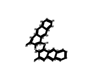 Cc1cc2cc3ccccc3cc2c(Sc2c(C)c(C)cc3cc4ccccc4cc23)c1C